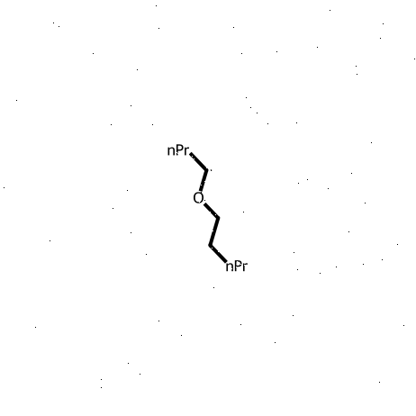 CCC[CH]OCCCCC